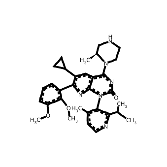 COc1cccc(-c2nc3c(cc2C2CC2)c(N2CCNC[C@@H]2C)nc(=O)n3-c2c(C)ccnc2C(C)C)c1OC